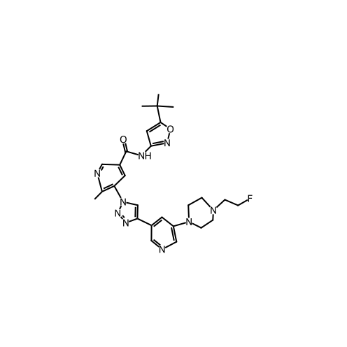 Cc1ncc(C(=O)Nc2cc(C(C)(C)C)on2)cc1-n1cc(-c2cncc(N3CCN(CCF)CC3)c2)nn1